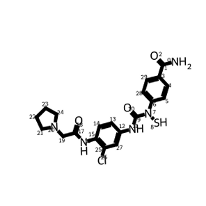 NC(=O)c1ccc(N(S)C(=O)Nc2ccc(NC(=O)CN3CCCC3)c(Cl)c2)cc1